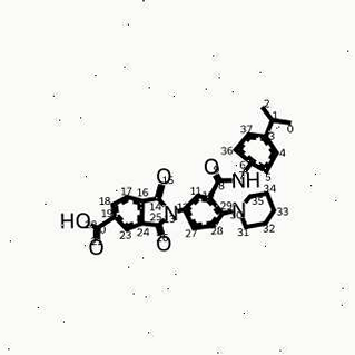 CC(C)c1ccc(NC(=O)c2cc(N3C(=O)c4ccc(C(=O)O)cc4C3=O)ccc2N2CCCCC2)cc1